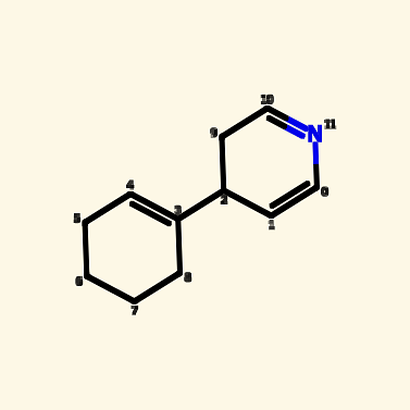 C1=CC(C2=CCCCC2)CC=N1